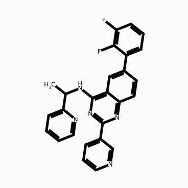 CC(Nc1nc(-c2cccnc2)nc2ccc(-c3cccc(F)c3F)cc12)c1ccccn1